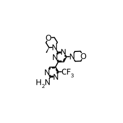 C[C@H]1COCCN1c1nc(-c2cnc(N)nc2C(F)(F)F)cc(N2CCOCC2)n1